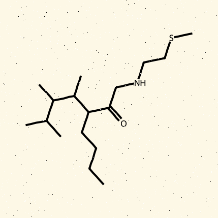 CCCCC(C(=O)CNCCSC)C(C)C(C)C(C)C